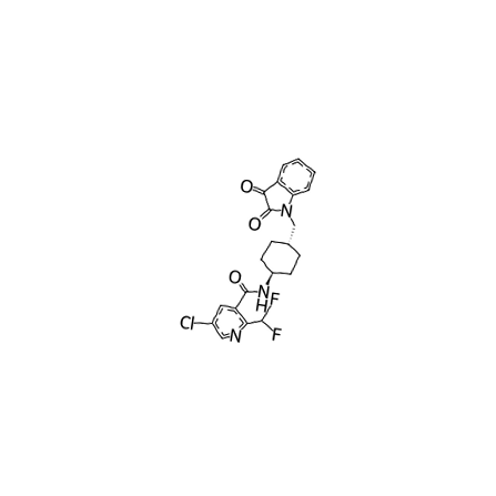 O=C1C(=O)N(C[C@H]2CC[C@H](NC(=O)c3cc(Cl)cnc3C(F)F)CC2)c2ccccc21